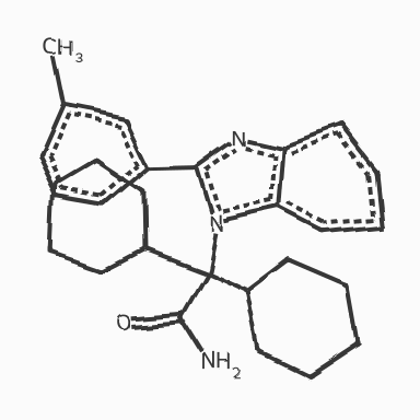 Cc1cccc(-c2nc3ccccc3n2C(C(N)=O)(C2CCCCC2)C2CCCCC2)c1